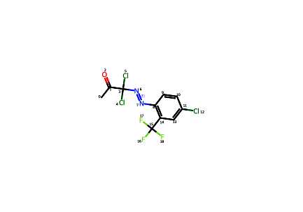 CC(=O)C(Cl)(Cl)/N=N/c1ccc(Cl)cc1C(F)(F)F